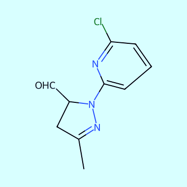 CC1=NN(c2cccc(Cl)n2)C(C=O)C1